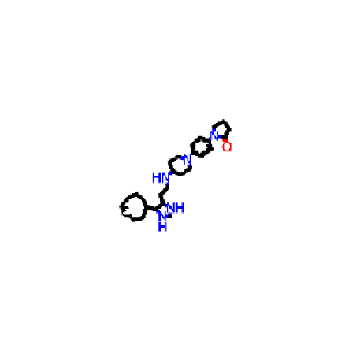 O=C1CCCN1c1ccc(N2CCC(NCCC3NCNC3C3CCCCCCC3)CC2)cc1